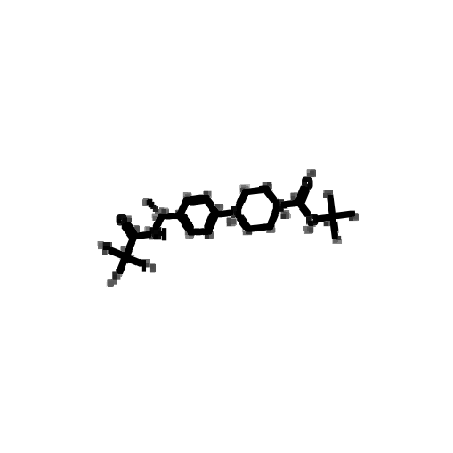 C[C@@H](NC(=O)C(F)(F)F)c1ccc(N2CCN(C(=O)OC(C)(C)C)CC2)cc1